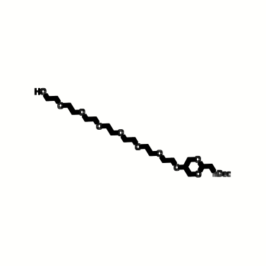 CCCCCCCCCCCC1OCC(OCCOCCOCCOCCOCCOCCOCCO)CO1